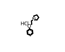 Cl.[c]1ccc(OCCN2CCCC2)cc1